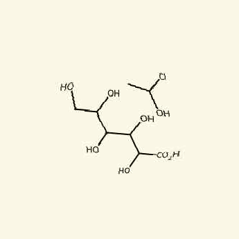 CC(O)Cl.O=C(O)C(O)C(O)C(O)C(O)CO